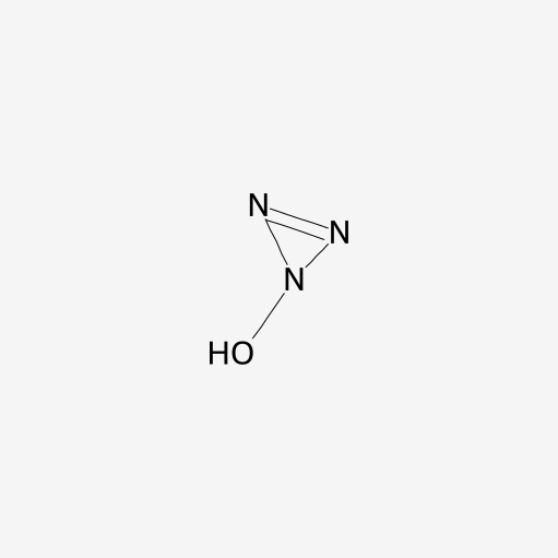 ON1N=N1